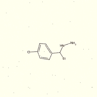 CCC(NN)c1ccc(Cl)cc1